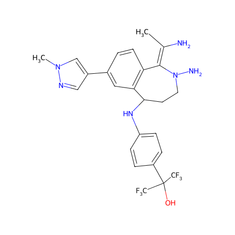 C/C(N)=C1\c2ccc(-c3cnn(C)c3)cc2C(Nc2ccc(C(O)(C(F)(F)F)C(F)(F)F)cc2)CCN1N